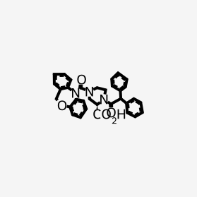 O=C(O)[C@@H]1CN(C(=O)N2c3ccccc3COc3ccccc32)CCN1C(=O)C(c1ccccc1)c1ccccc1